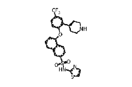 O=S(=O)(Nc1nccs1)c1ccc2c(Oc3ccc(C(F)(F)F)cc3C3=CCNCC3)cccc2c1